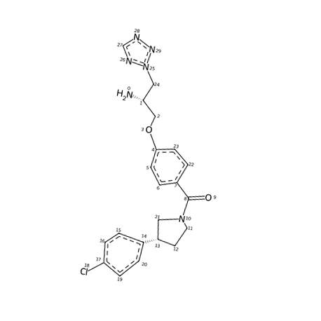 N[C@@H](COc1ccc(C(=O)N2CC[C@H](c3ccc(Cl)cc3)C2)cc1)Cn1ncnn1